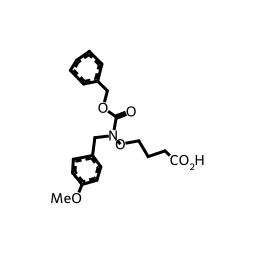 COc1ccc(CN(OCCCC(=O)O)C(=O)OCc2ccccc2)cc1